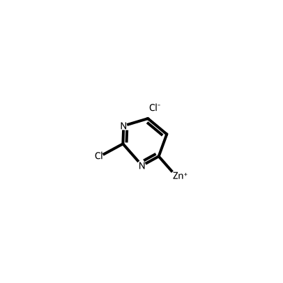 Clc1ncc[c]([Zn+])n1.[Cl-]